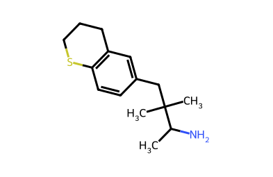 CC(N)C(C)(C)Cc1ccc2c(c1)CCCS2